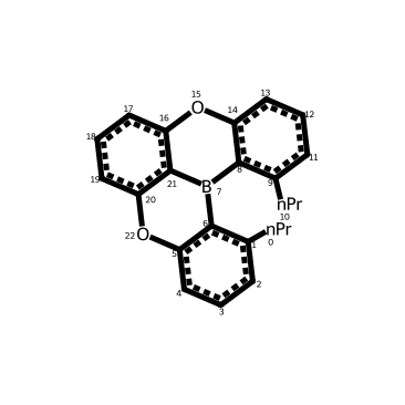 CCCc1cccc2c1B1c3c(CCC)cccc3Oc3cccc(c31)O2